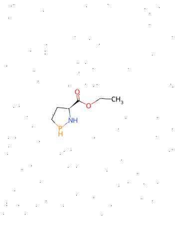 CCOC(=O)[C@@H]1CCPN1